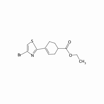 CCOC(=O)C1CC=C(c2nc(Br)cs2)CC1